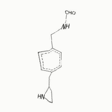 O=CNCc1ccc(C2CN2)cc1